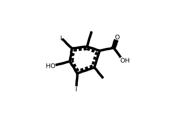 Cc1c(I)c(O)c(I)c(C)c1C(=O)O